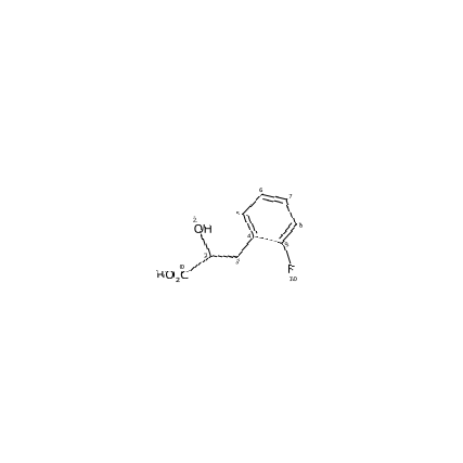 O=C(O)C(O)Cc1ccccc1F